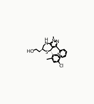 Cc1cc(Cl)ccc1[C@@H]1S[C@@H](CCO)CNc2c1c(-c1ccccn1)nn2C